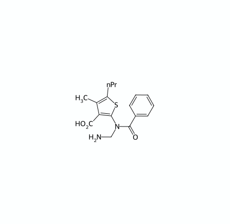 CCCc1sc(N(CN)C(=O)c2ccccc2)c(C(=O)O)c1C